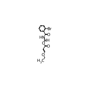 CCOC=CC(=O)ONNC(=O)c1ccccc1Br